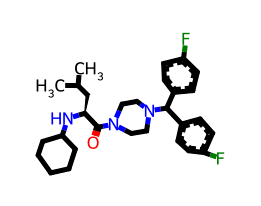 CC(C)C[C@H](NC1CCCCC1)C(=O)N1CCN(C(c2ccc(F)cc2)c2ccc(F)cc2)CC1